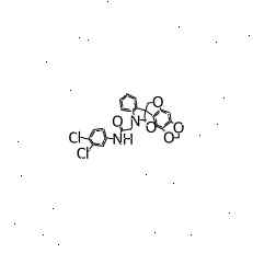 O=C(CN1C(=O)C2(COc3cc4c(cc32)OCO4)c2ccccc21)Nc1ccc(Cl)c(Cl)c1